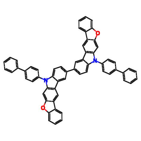 c1ccc(-c2ccc(-n3c4ccc(-c5ccc6c(c5)c5cc7c(cc5n6-c5ccc(-c6ccccc6)cc5)oc5ccccc57)cc4c4cc5c(cc43)oc3ccccc35)cc2)cc1